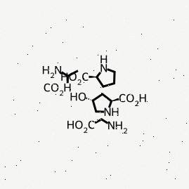 CC(N)C(=O)O.NCC(=O)O.O=C(O)[C@@H]1CCCN1.O=C(O)[C@@H]1C[C@@H](O)CN1